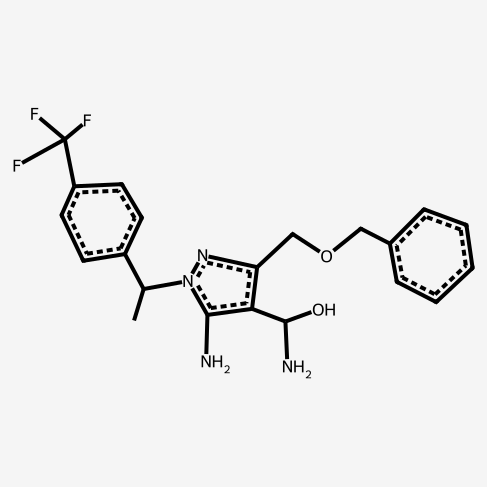 CC(c1ccc(C(F)(F)F)cc1)n1nc(COCc2ccccc2)c(C(N)O)c1N